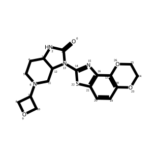 O=C1NC2CCN(C3COC3)CC2N1c1nc2c3c(ccc2s1)OCCO3